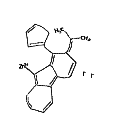 CC(C)=c1ccc2c(c1C1=CC=CC1)[C]([Zr+2])=c1ccccc1=2.[I-].[I-]